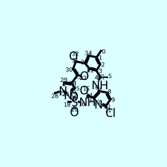 Cc1cc([C@@H](C)Nc2ccc(Cl)nc2C(=O)NS(C)(=O)=O)c2oc(-c3cnn(C)c3)cc(=O)c2c1